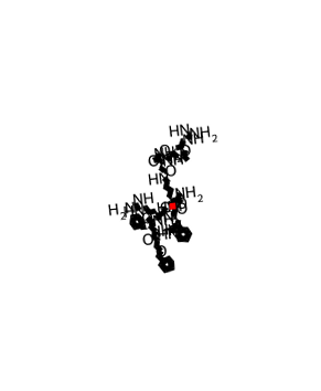 CC(=O)N[C@@H](CCCNC(=N)N)C(=O)N[C@@H](CC(=O)NCCCC[C@H](NC(=O)[C@H](Cc1c[nH]c2ccccc12)NC(O)[C@H](CCCNC(=N)N)NC(=O)[C@@H](Cc1ccccc1)NC(=O)CCOCc1ccccc1)C(N)=O)C(N)=O